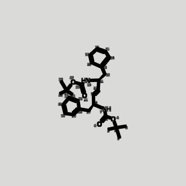 CC(C)(C)OC(=O)N[C@H](/C=C/[C@H](Cc1ccccc1)NC(=O)OC(C)(C)C)Cc1ccccc1